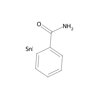 NC(=O)c1ccccc1.[Sn]